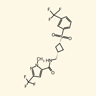 Cn1nc(C(F)(F)F)cc1C(=O)NC[C@H]1C[C@@H](S(=O)(=O)c2cccc(C(F)(F)F)c2)C1